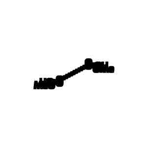 COc1cc(C=CC(=O)OCCCCCCCCCCCCCCCCCCCCCCOC(=O)C=Cc2ccc(O)c(OC)c2)ccc1O